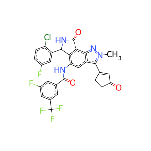 Cn1nc2c3c(c(NC(=O)c4cc(F)cc(C(F)(F)F)c4)cc2c1C1=CC(=O)CC1)C(c1cc(F)ccc1Cl)NC3=O